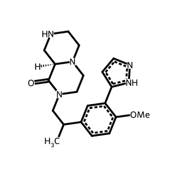 COc1ccc(C(C)CN2CCN3CCNC[C@@H]3C2=O)cc1-c1ccn[nH]1